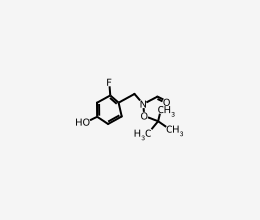 CC(C)(C)ON(C=O)Cc1ccc(O)cc1F